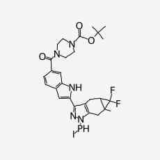 CC(C)(C)OC(=O)N1CCN(C(=O)c2ccc3cc(-c4nn(PI)c5c4CC4C(F)(F)C4(C)C5)[nH]c3c2)CC1